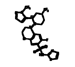 Cn1nccc1[C@H]1CC(C(F)(F)F)CCN1[C@@H]1CCOc2cc(S(=O)(=O)Nc3nccs3)c(F)cc21